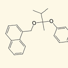 C=Cc1ccc(OC(C)(OCc2cccc3ccccc23)C(C)C)cc1